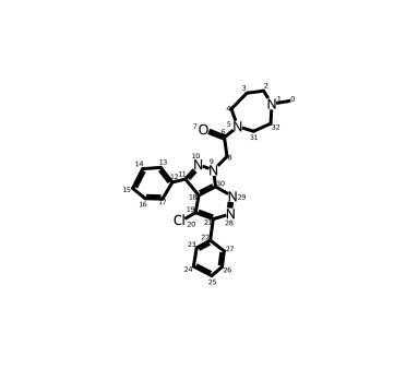 CN1CCCN(C(=O)Cn2nc(-c3ccccc3)c3c(Cl)c(-c4ccccc4)nnc32)CC1